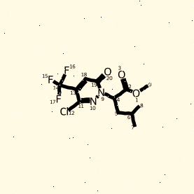 COC(=O)C(CC(C)C)n1nc(Cl)c(C(F)(F)F)cc1=O